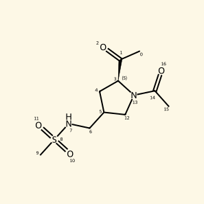 CC(=O)[C@@H]1CC(CNS(C)(=O)=O)CN1C(C)=O